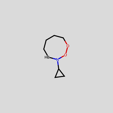 B1CCCCOON1C1CC1